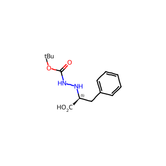 CC(C)(C)OC(=O)NN[C@@H](Cc1ccccc1)C(=O)O